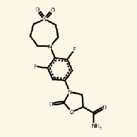 NC(=O)C1CN(c2cc(F)c(N3CCCS(=O)(=O)CC3)c(F)c2)C(=O)O1